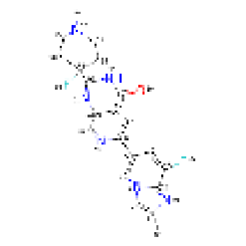 Cc1cn2cc(-c3cc4c(=O)[nH]c(C5(F)CCN(C)CC5)nc4cn3)cc(F)c2n1